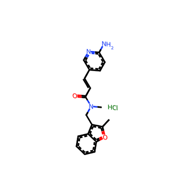 Cc1oc2ccccc2c1CN(C)C(=O)/C=C/c1ccc(N)nc1.Cl